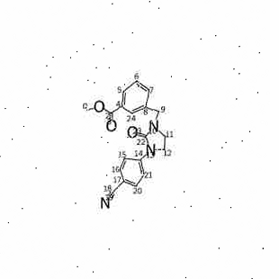 COC(=O)c1cccc(CN2CCN(c3ccc(C#N)cc3)C2=O)c1